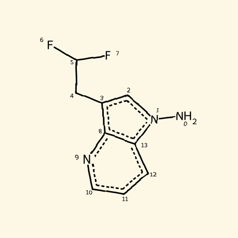 Nn1cc(CC(F)F)c2ncccc21